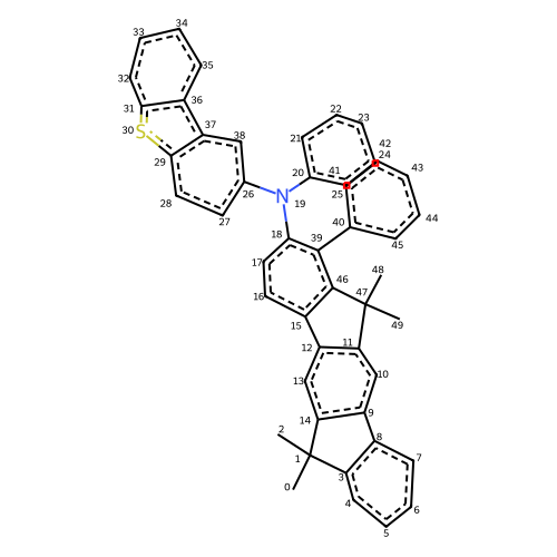 CC1(C)c2ccccc2-c2cc3c(cc21)-c1ccc(N(c2ccccc2)c2ccc4sc5ccccc5c4c2)c(-c2ccccc2)c1C3(C)C